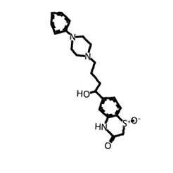 O=C1C[S+]([O-])c2ccc(C(O)CCCN3CCN(c4ccccc4)CC3)cc2N1